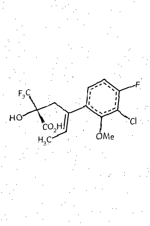 CC=C(C[C@@](O)(C(=O)O)C(F)(F)F)c1ccc(F)c(Cl)c1OC